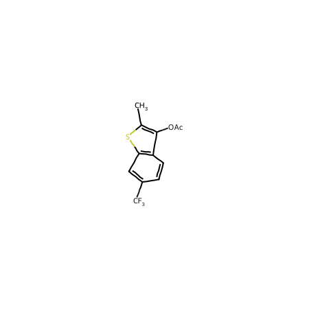 CC(=O)Oc1c(C)sc2cc(C(F)(F)F)ccc12